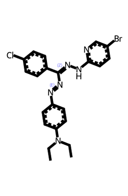 CCN(CC)c1ccc(/N=N/C(=N\Nc2ccc(Br)cn2)c2ccc(Cl)cc2)cc1